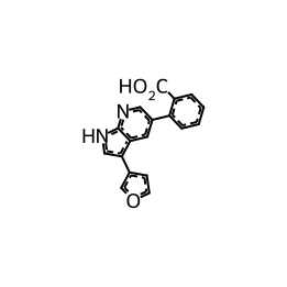 O=C(O)c1ccccc1-c1cnc2[nH]cc(-c3ccoc3)c2c1